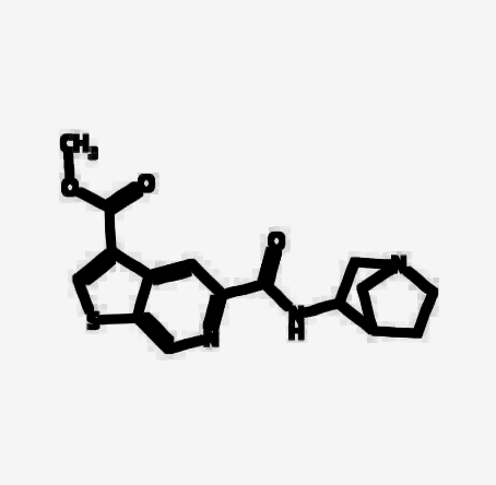 COC(=O)c1csc2cnc(C(=O)NC3CN4CCC3C4)cc12